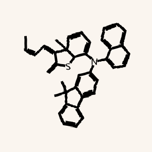 C=C1SC2C(N(c3ccc4c(c3)C(C)(C)c3ccccc3-4)c3cccc4ccccc34)=CC=CC2(C)/C1=C/C=C\C